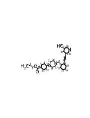 C=CCOC(=O)c1ccc(N2CCN(Cc3ccccc3C#Cc3cncc(O)c3)CC2)cc1